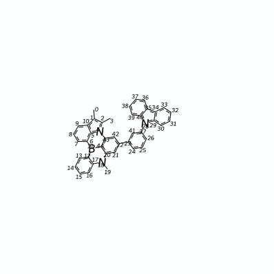 Cc1c(C)n2c3c(cccc13)B1c3ccccc3N(C)c3cc(-c4cccc(-n5c6ccccc6c6ccccc65)c4)cc-2c31